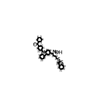 O=C(c1ccccc1)c1ccc(-n2c3ccccc3c3cc(/C(CCCSc4nc5ccccc5s4)=N/O)ccc32)cc1